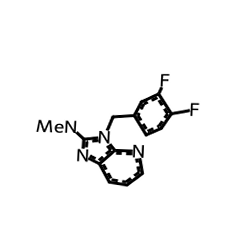 CNc1nc2cccnc2n1Cc1ccc(F)c(F)c1